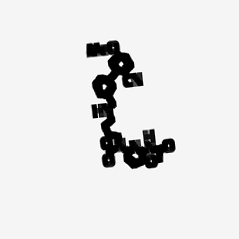 COc1ccc(C#N)c(-c2cccc(CNCCC3CN(c4ccc5c(n4)NC(=O)CO5)C(=O)O3)c2)c1